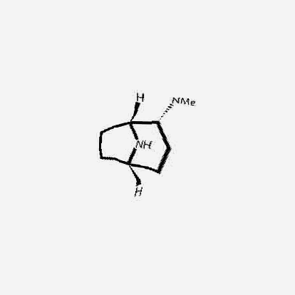 CN[C@@H]1CC[C@@H]2CC[C@H]1N2